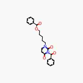 O=C(OCCCCCn1ccc(=O)n(C(=O)c2ccccc2)c1=O)c1ccccc1